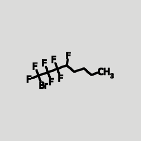 CCCCC(F)C(F)(F)C(F)(F)C(F)(F)Br